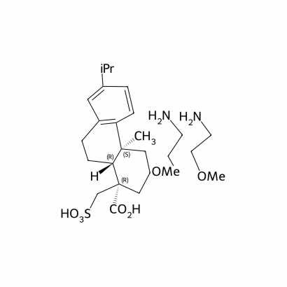 CC(C)c1ccc2c(c1)CC[C@H]1[C@@](CS(=O)(=O)O)(C(=O)O)CCC[C@]21C.COCCN.COCCN